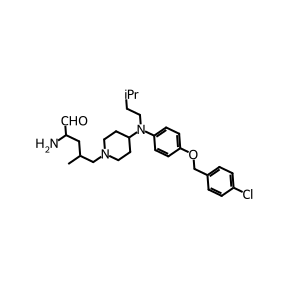 CC(C)CCN(c1ccc(OCc2ccc(Cl)cc2)cc1)C1CCN(CC(C)CC(N)C=O)CC1